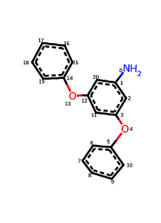 Nc1cc(Oc2ccccc2)cc(Oc2ccccc2)c1